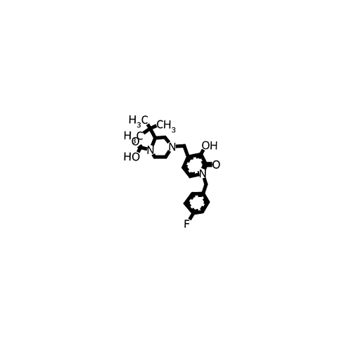 CC(C)(C)C1CN(Cc2ccn(Cc3ccc(F)cc3)c(=O)c2O)CCN1C(=O)O